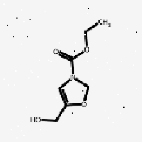 CCOC(=O)N1C=C(CO)OC1